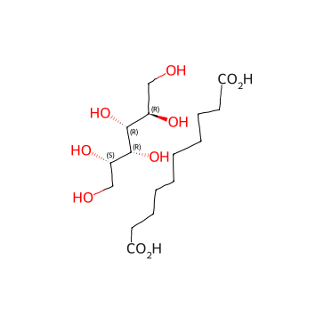 O=C(O)CCCCCCCCC(=O)O.OC[C@@H](O)[C@@H](O)[C@H](O)[C@@H](O)CO